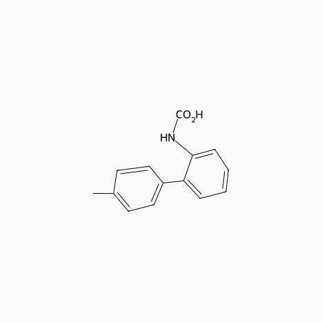 Cc1ccc(-c2ccccc2NC(=O)O)cc1